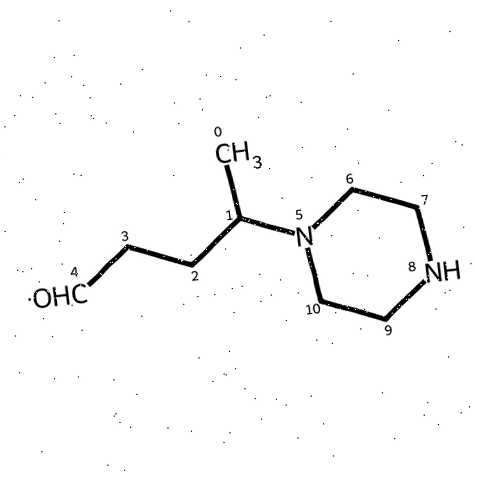 CC(CC[C]=O)N1CCNCC1